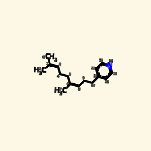 CC(C)=CCCC(C)=CCCc1ccncc1